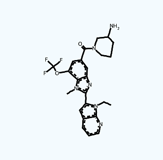 CCn1c(-c2nc3cc(C(=O)N4CCCC(N)C4)cc(OC(F)(F)F)c3n2C)cc2cccnc21